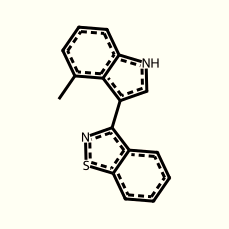 Cc1cccc2[nH]cc(-c3nsc4ccccc34)c12